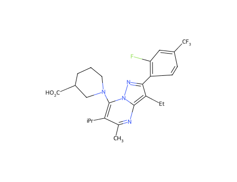 CCc1c(-c2ccc(C(F)(F)F)cc2F)nn2c(N3CCCC(C(=O)O)C3)c(C(C)C)c(C)nc12